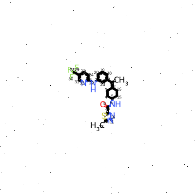 CC(=C1CCC(NC(=O)c2nnc(C)s2)CC1)c1cccc(Nc2ccc(C(F)(F)F)cn2)c1